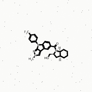 Cn1cc2c3cc(C(=O)N4[C@H](CO)C[C@@H]5CCCC[C@@H]54)ccc3n(-c3ccc(C(F)(F)F)cc3)c2n1